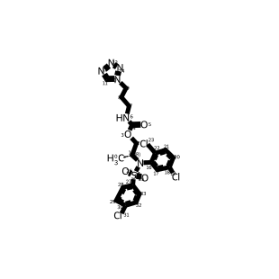 C[C@H](COC(=O)NCCCn1cnnn1)N(c1cc(Cl)ccc1Cl)S(=O)(=O)c1ccc(Cl)cc1